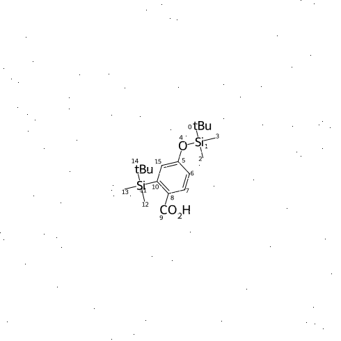 CC(C)(C)[Si](C)(C)Oc1ccc(C(=O)O)c([Si](C)(C)C(C)(C)C)c1